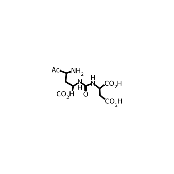 CC(=O)C(N)CC(NC(=O)NC(CC(=O)O)C(=O)O)C(=O)O